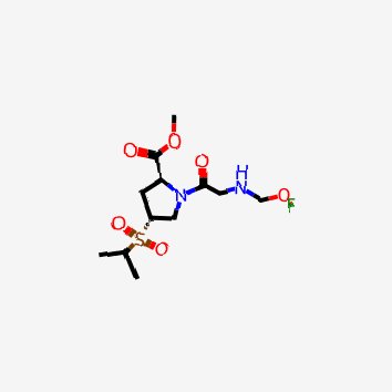 COC(=O)[C@@H]1C[C@@H](S(=O)(=O)C(C)C)CN1C(=O)CNCOF